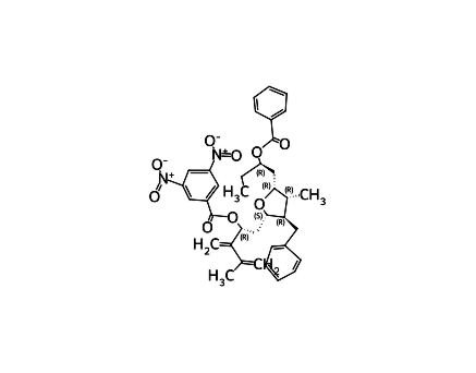 C=C(C)C(=C)[C@@H](C[C@@H]1O[C@H](C[C@@H](CC)OC(=O)c2ccccc2)[C@H](C)[C@H]1Cc1ccccc1)OC(=O)c1cc([N+](=O)[O-])cc([N+](=O)[O-])c1